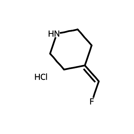 Cl.FC=C1CCNCC1